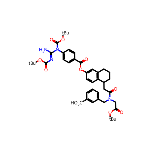 CC(C)(C)OC(=O)CN(Cc1cccc(C(=O)O)c1)C(=O)CC1CCCc2cc(OC(=O)c3ccc(N(C(=O)OC(C)(C)C)C(N)=NC(=O)OC(C)(C)C)cc3)ccc21